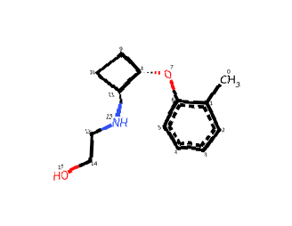 Cc1ccccc1O[C@H]1CC[C@@H]1NCCO